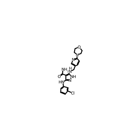 NC(=O)c1c(Nc2cccc(Cl)c2)n[nH]c1NCc1ccc(N2CCOCC2)nc1